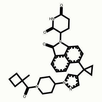 CC1(C(=O)N2CCC(n3cc(C4(c5ccc6c7c(cccc57)C(=O)N6C5CCC(=O)NC5=O)CC4)cn3)CC2)CCC1